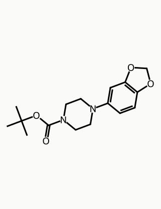 CC(C)(C)OC(=O)N1CCN(c2ccc3c(c2)OCO3)CC1